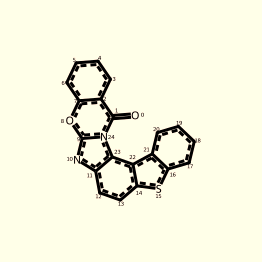 O=c1c2ccccc2oc2nc3ccc4sc5ccccc5c4c3n12